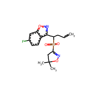 C=CCC(c1noc2cc(F)ccc12)S(=O)(=O)C1=NOC(C)(C)C1